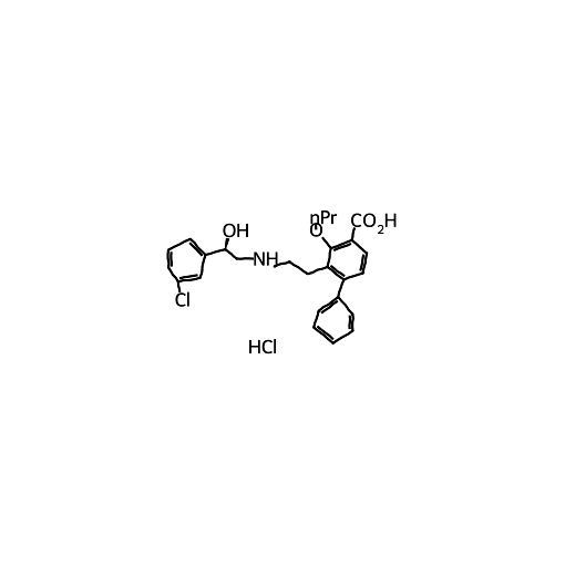 CCCOc1c(C(=O)O)ccc(-c2ccccc2)c1CCCNC[C@H](O)c1cccc(Cl)c1.Cl